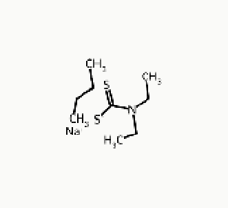 CCCC.CCN(CC)C(=S)[S-].[Na+]